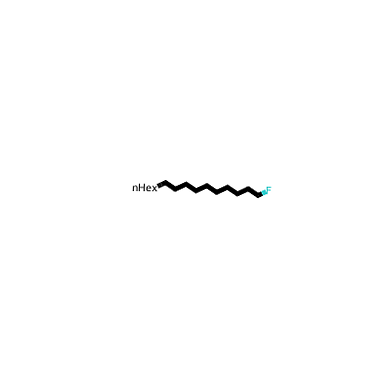 CCCCCCCCCCCCCCC[CH]F